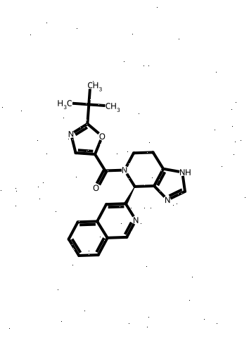 CC(C)(C)c1ncc(C(=O)N2CCc3[nH]cnc3[C@H]2c2cc3ccccc3cn2)o1